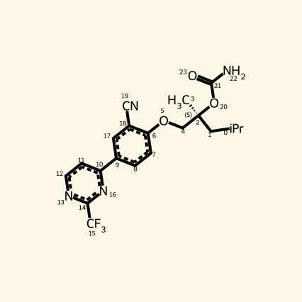 CC(C)C[C@@](C)(COc1ccc(-c2ccnc(C(F)(F)F)n2)cc1C#N)OC(N)=O